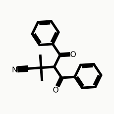 CC(C)(C#N)C(C(=O)c1ccccc1)C(=O)c1ccccc1